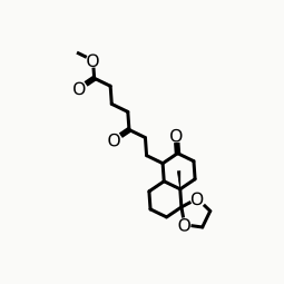 COC(=O)CCCC(=O)CCC1C(=O)CC[C@@]2(C)C1CCCC21OCCO1